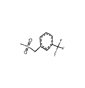 CS(=O)(=O)[CH]c1cccc(C(F)(F)F)c1